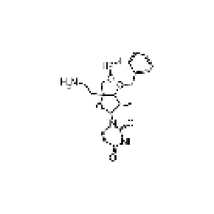 NCC[C@]1(COPI)OC(n2ccc(=O)[nH]c2=O)C(F)C1OCc1ccccc1